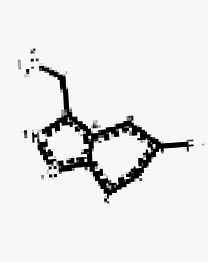 CCc1noc2ccc(F)cc12